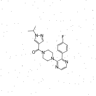 CC(C)n1cc(C(=O)N2CCN(c3nccnc3-c3ccc(F)cc3)CC2)cn1